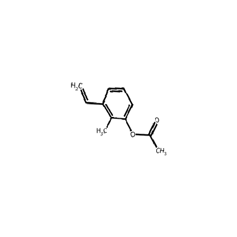 C=Cc1cccc(OC(C)=O)c1C